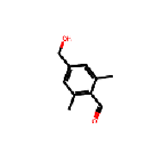 Cc1cc(CO)cc(C)c1C=O